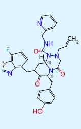 C=CCN1CC(=O)N2[C@@H](Cc3ccc(O)cc3)C(=O)C(Cc3ccc(F)c4scnc34)C[C@@H]2N1C(=O)NCc1ccccn1